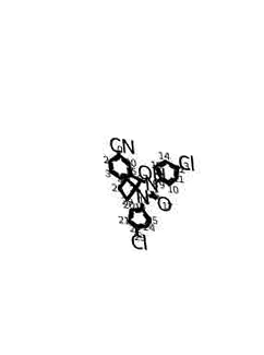 N#Cc1cccc(C2(O)N(c3ccc(Cl)cc3)C(=O)N(c3ccc(Cl)cc3)C23CCC3)c1